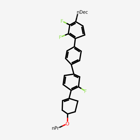 CCCCCCCCCCc1ccc(-c2ccc(-c3ccc(C4=CCC(OCCC)CC4)c(F)c3)cc2)c(F)c1F